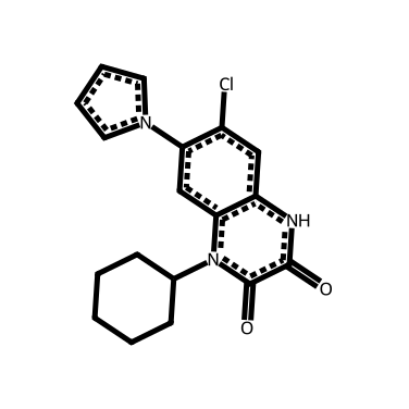 O=c1[nH]c2cc(Cl)c(-n3cccc3)cc2n(C2CCCCC2)c1=O